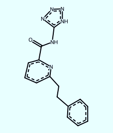 O=C(Nc1nnn[nH]1)c1cccc(CCc2ccccc2)n1